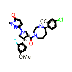 COc1ccc([C@@H]2CN(c3ccc(=O)n(C)n3)C[C@H]2C(=O)N2CCC[C@H](c3ccc(Cl)cc3)N(C(=O)O)CC2)c(F)c1